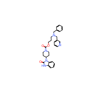 O=C(OCCCN(Cc1ccccc1)Cc1cccnc1)N1CCC(n2c(=O)[nH]c3ccccc32)CC1